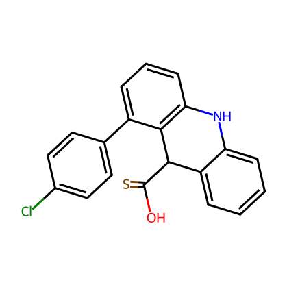 OC(=S)C1c2ccccc2Nc2cccc(-c3ccc(Cl)cc3)c21